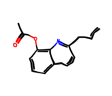 C=CCc1ccc2cccc(OC(C)=O)c2n1